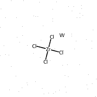 [Cl][Zr]([Cl])([Cl])[Cl].[W]